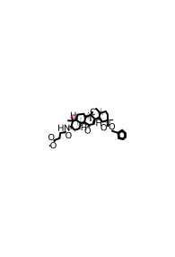 COC(=O)CCC(=O)N[C@H]1CC[C@]2(C)[C@H]3C(=O)C=C4[C@@H]5C[C@@](C)(C(=O)OCc6ccccc6)CC[C@]5(C)CC[C@@]4(C)[C@]3(C)CC[C@H]2C1(C)C